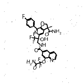 C[C@]1(C(N)=O)COc2c1cc([C@@](O)(CNC(=O)c1cc(OC(F)(F)C(N)=O)c3ncccc3c1)C(F)(F)F)nc2-c1ccc(F)cc1